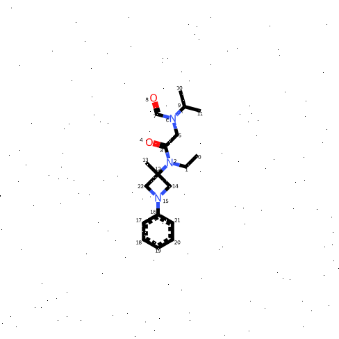 CCN(C(=O)CN(C=O)C(C)C)C1(C)CN(c2ccccc2)C1